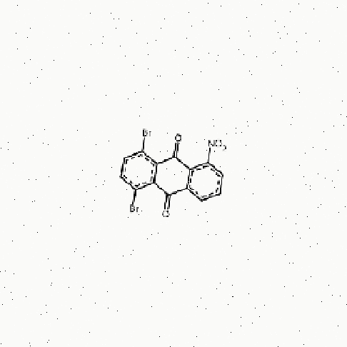 O=C1c2cccc([N+](=O)[O-])c2C(=O)c2c(Br)ccc(Br)c21